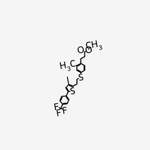 COC(=O)CCc1ccc(SCCc2sc(-c3ccc(C(F)(F)F)cc3)cc2I)cc1C